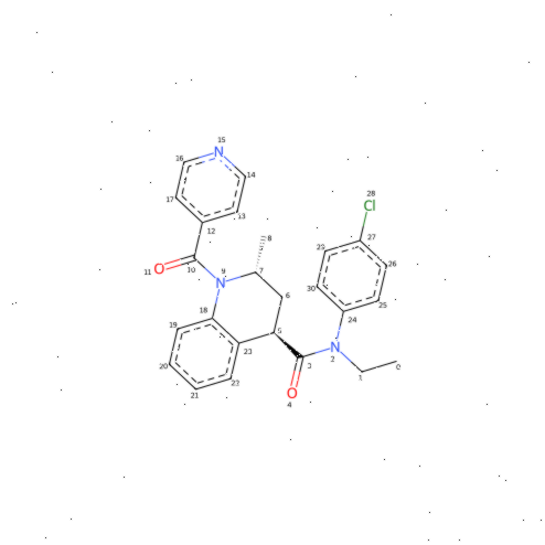 CCN(C(=O)[C@@H]1C[C@@H](C)N(C(=O)c2ccncc2)c2ccccc21)c1ccc(Cl)cc1